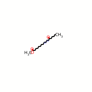 CCCCCC(=O)/C=C/C=C/CCCCCCCC(=O)OC